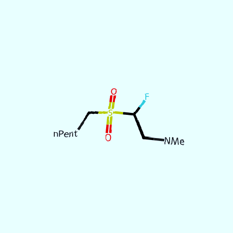 CCCCCCS(=O)(=O)[C](F)CNC